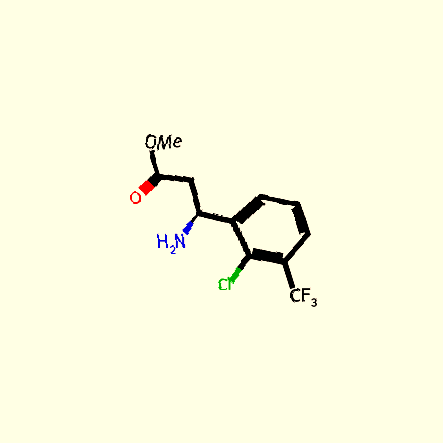 COC(=O)C[C@H](N)c1cccc(C(F)(F)F)c1Cl